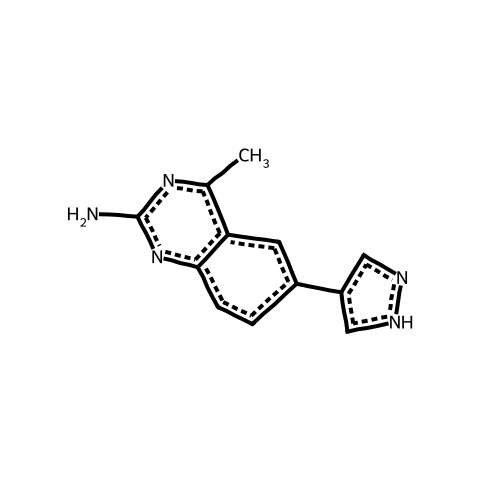 Cc1nc(N)nc2ccc(-c3cn[nH]c3)cc12